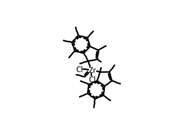 C[CH]=[Zr]([Cl])([Cl])([C]1(C)C(C)=C(C)c2c(C)c(C)c(C)c(C)c21)[C]1(C)C(C)=C(C)c2c(C)c(C)c(C)c(C)c21